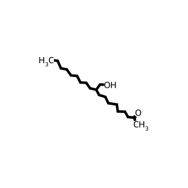 CCCCCCCCCC(CO)CCCCCCCC(C)=O